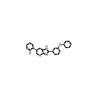 Fc1ccccc1-c1cnc2nc(-c3cccc(Oc4ccccc4)c3)[nH]c2c1